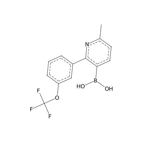 Cc1ccc(B(O)O)c(-c2cccc(OC(F)(F)F)c2)n1